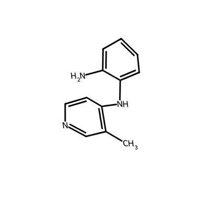 Cc1cnccc1Nc1ccccc1N